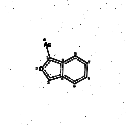 [CH2]C(=O)c1occ2ccccc12